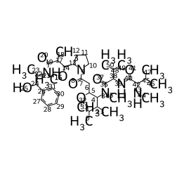 CCC(C)C(C(CC(=O)N1CCC[C@@H]1C(OC)C(C)C(=O)NC(C)C(O)c1ccccc1)OC)N(C)C(=O)C(NC(=O)C(NC)C(C)C)C(C)C